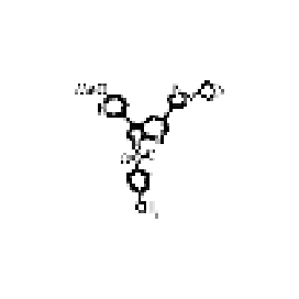 COc1ccc(-c2cn(S(=O)(=O)c3ccc(C)cc3)c3ncc(-c4cnn(C5COC5)c4)cc23)cn1